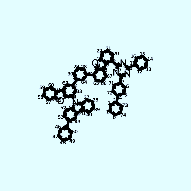 c1ccc(-c2ccc(-c3nc(-c4ccccc4)nc(-c4cccc5oc6c(-c7cccc(-c8cc(-n9c%10ccccc%10c%10cc(-c%11ccccc%11)ccc%109)c9oc%10ccccc%10c9c8)c7)cccc6c45)n3)cc2)cc1